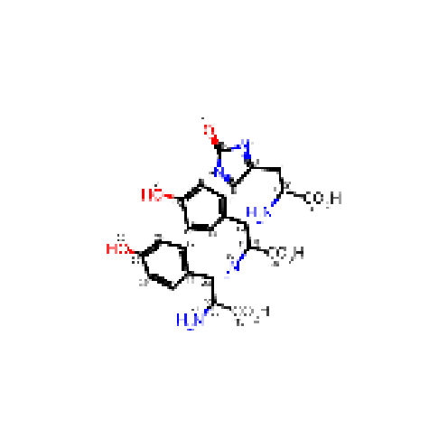 N[C@@H](CC1=NC(=O)N=C1)C(=O)O.N[C@@H](Cc1ccc(O)cc1)C(=O)O.N[C@@H](Cc1ccc(O)cc1)C(=O)O